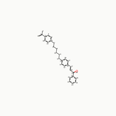 C=C(C)c1ccc(CCCCCCc2ccc(/C=C/C(=O)c3ccccc3)cc2)cc1